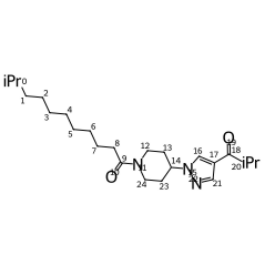 CC(C)CCCCCCCCC(=O)N1CCC(n2cc(C(=O)C(C)C)cn2)CC1